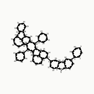 c1ccc(-c2ccc3sc4ccc(-c5ccc6c7c(-c8ccccc8)c8cc9c%10ccccc%10c%10cccc(c8c(-c8ccccc8)c7c7cccc5c67)c%109)cc4c3c2)cc1